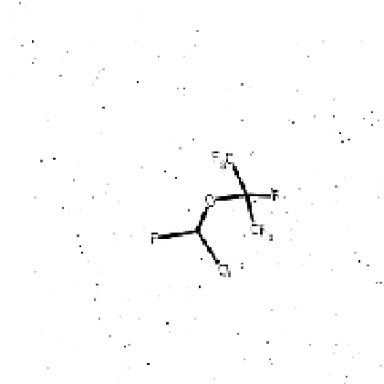 FC(Cl)OC(F)(C(F)(F)F)C(F)(F)F